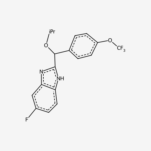 CC(C)OC(c1ccc(OC(F)(F)F)cc1)c1nc2cc(F)ccc2[nH]1